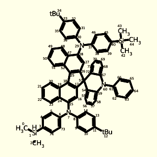 C[SiH](C)c1ccc(N(c2ccc(C(C)(C)C)cc2)c2cc3c(c4ccccc24)-c2c(cc(N(c4ccc(C(C)(C)C)cc4)c4ccc([Si](C)(C)C)cc4)c4ccccc24)C32c3ccccc3N(c3ccccc3)c3ccccc32)cc1